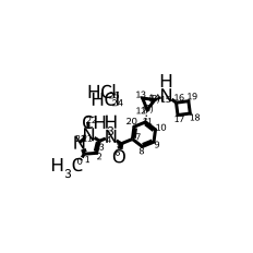 Cc1cc(NC(=O)c2cccc([C@@H]3C[C@H]3NC3CCC3)c2)n(C)n1.Cl.Cl